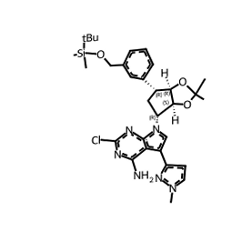 Cn1ccc(-c2cn([C@@H]3C[C@H](c4cccc(CO[Si](C)(C)C(C)(C)C)c4)[C@H]4OC(C)(C)O[C@H]43)c3nc(Cl)nc(N)c23)n1